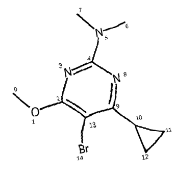 COc1nc(N(C)C)nc(C2CC2)c1Br